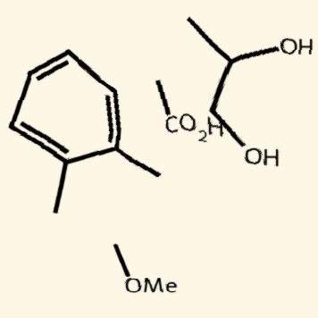 CC(=O)O.CC(O)CO.COC.Cc1ccccc1C